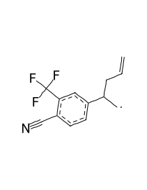 [CH2]C(CC=C)c1ccc(C#N)c(C(F)(F)F)c1